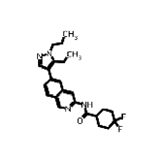 CCCn1ncc(-c2ccc3cnc(NC(=O)C4CCC(F)(F)CC4)cc3c2)c1CC